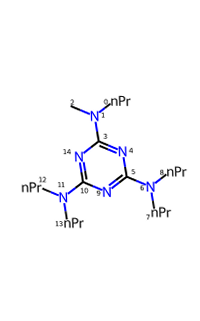 CCCN(C)c1nc(N(CCC)CCC)nc(N(CCC)CCC)n1